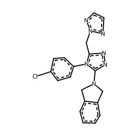 Clc1ccc(-n2c(Cn3nccn3)nnc2N2Cc3ccccc3C2)cc1